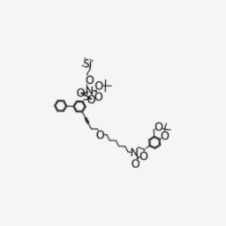 CC(C)(C)OC(=O)N(COCC[Si](C)(C)C)S(=O)(=O)c1cc(C#CCCOCCCCCCN2C[C@@H](c3ccc4c(c3)COC(C)(C)O4)OC2=O)cc(-c2ccccc2)c1